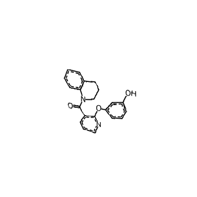 O=C(c1cccnc1Oc1cccc(O)c1)N1CCCc2ccccc21